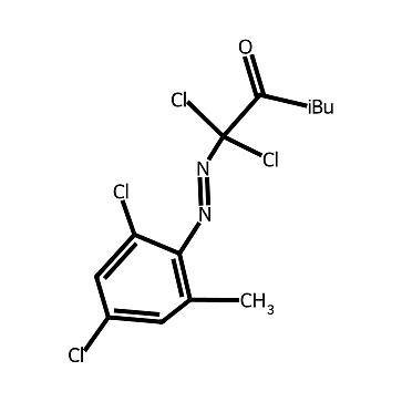 CCC(C)C(=O)C(Cl)(Cl)/N=N/c1c(C)cc(Cl)cc1Cl